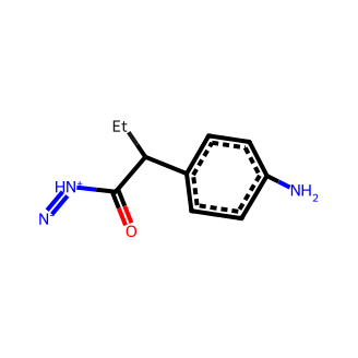 CCC(C(=O)[NH+]=[N-])c1ccc(N)cc1